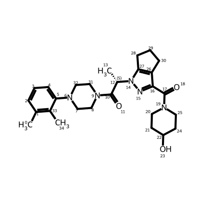 Cc1cccc(N2CCN(C(=O)[C@H](C)n3nc(C(=O)N4CCC(O)CC4)c4c3CCC4)CC2)c1C